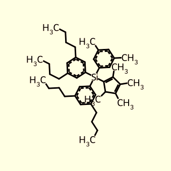 CCCCc1cc(CCCC)cc([Si](C2=C(C)C(C)=C(C)C2C)(c2cc(C)cc(C)c2)c2cc(CCCC)cc(CCCC)c2)c1